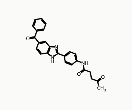 CC(=O)CCC(=O)Nc1ccc(-c2nc3cc(C(=O)c4ccccc4)ccc3[nH]2)cc1